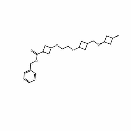 C[C@H]1C[C@@H](OCC2CC(OCCOC3CN(C(=O)OCc4ccccc4)C3)C2)C1